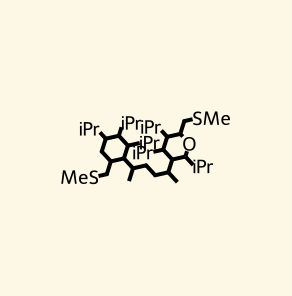 CSCC1CC(C(C)C)C(C(C)C)C(C(C)C)C1C(C)CCC(C)C1C(C(C)C)OC(CSC)C(C(C)C)C1C(C)C